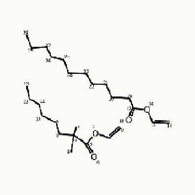 C=COC(=O)C(C)(C)CCCCCC.C=COC(=O)CCCCCCCCCCC